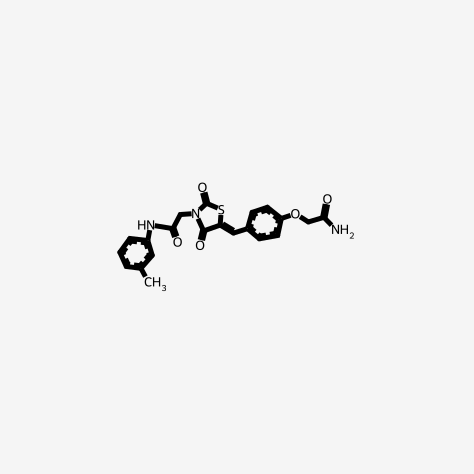 Cc1cccc(NC(=O)CN2C(=O)S/C(=C\c3ccc(OCC(N)=O)cc3)C2=O)c1